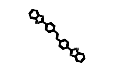 C(=Cc1ccc(-c2nc3ccccc3[nH]2)cc1)c1ccc(-c2nc3ccccc3[nH]2)cc1